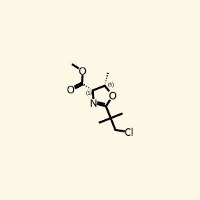 COC(=O)[C@H]1N=C(C(C)(C)CCl)O[C@H]1C